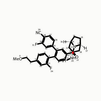 COCCc1ccc(-c2ccc(C(=O)N3[C@@H]4CC[C@H]3C[C@H](NC(C)C)C4)cc2-c2ccc(C#N)c(F)c2)c(F)c1